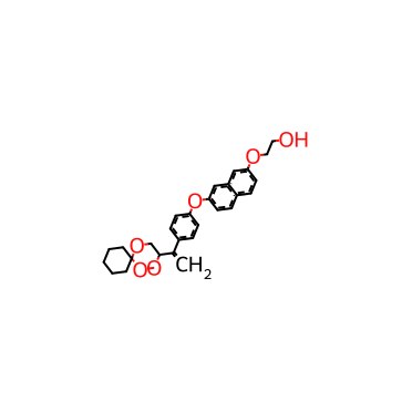 C=C(c1ccc(Oc2ccc3ccc(OCCO)cc3c2)cc1)C1COC2(CCCCC2)OO1